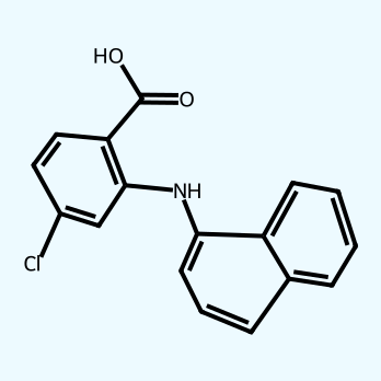 O=C(O)c1ccc(Cl)cc1Nc1cccc2ccccc12